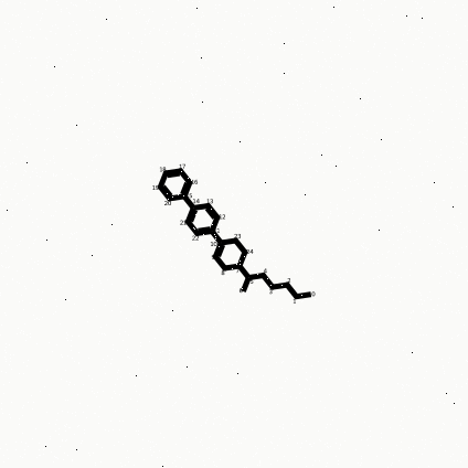 CCCCCC(C)C1CC=C(c2ccc(-c3ccccc3)cc2)CC1